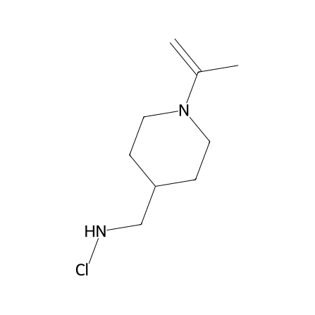 C=C(C)N1CCC(CNCl)CC1